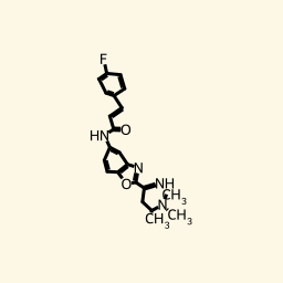 CC(CC(=N)c1nc2cc(NC(=O)C=Cc3ccc(F)cc3)ccc2o1)N(C)C